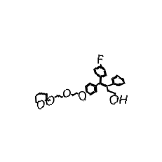 OCCC(=C(c1ccc(F)cc1)c1ccc(OCCOCCOC2CCCCO2)cc1)c1ccccc1